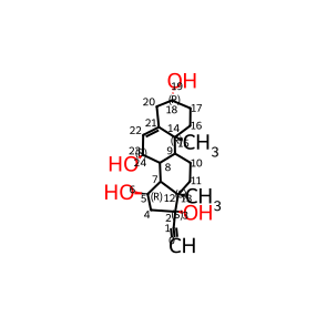 C#C[C@]1(O)C[C@@H](O)C2C3C(CC[C@@]21C)[C@@]1(C)CC[C@@H](O)CC1=C[C@@H]3O